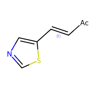 CC(=O)/C=C/c1cncs1